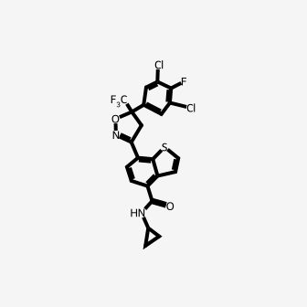 O=C(NC1CC1)c1ccc(C2=NOC(c3cc(Cl)c(F)c(Cl)c3)(C(F)(F)F)C2)c2sccc12